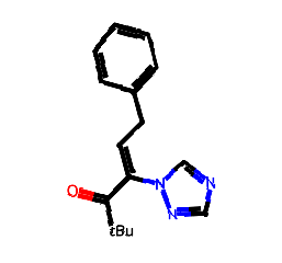 CC(C)(C)C(=O)C(=CCc1ccccc1)n1cncn1